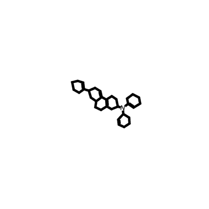 C1=CC(N(C2=CCCCC2)C2CCC3=C(CCC4CC(C5=CCCCC5)CC=C34)C2)CCC1